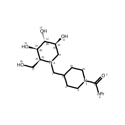 CCCC(=O)N1CCC(CN2C[C@H](O)[C@@H](O)[C@H](O)[C@@H]2CO)CC1